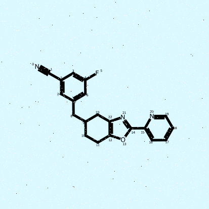 N#Cc1cc(F)cc(CC2CCc3oc(-c4ccccn4)nc3C2)c1